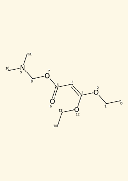 CCOC(=CC(=O)OCN(C)C)OCC